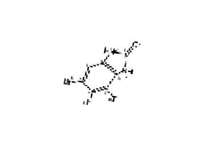 O=c1[nH]c2cc(Br)c(F)c(F)c2[nH]1